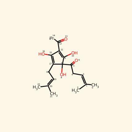 CC(C)=CCC(=O)C1(O)C(O)=C(C(=O)C(C)C)C(O)=C1CC=C(C)C